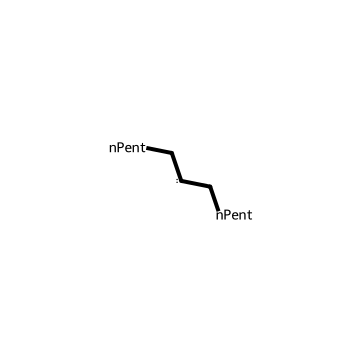 CCCCCC[C]CCCCCC